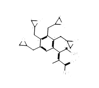 C/C(C(N)=O)=C(/C(N)=O)c1cc(CC2CO2)c(CC2CO2)c(CC2CO2)c1CC1CO1